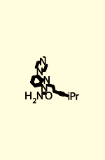 CC(C)C#CCCc1nc2c(N3CCN(C)CC3)cccc2n1C(N)=O